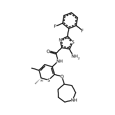 CC1=CC(NC(=O)c2nc(-c3c(F)cccc3F)sc2N)=C(OC2CCCNCC2)S[C@@H]1C